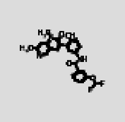 Cc1cc2c(cn1)cc(-c1cc(NC(=O)c3cccc(OC(F)F)c3)ccc1C)c(=O)n2C